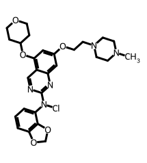 CN1CCN(CCOc2cc(OC3CCOCC3)c3cnc(N(Cl)c4cccc5c4OCO5)nc3c2)CC1